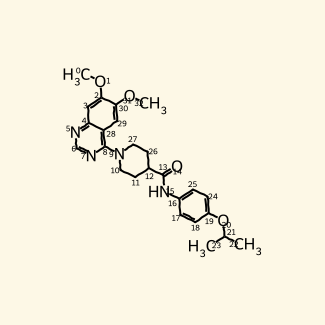 COc1cc2ncnc(N3CCC(C(=O)Nc4ccc(OC(C)C)cc4)CC3)c2cc1OC